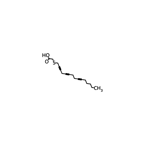 CCCCCC#CCCC#CCC#CCSCC(=O)O